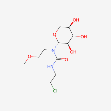 COCCN(C(=O)NCCCl)[C@@H]1OC[C@@H](O)[C@H](O)[C@H]1O